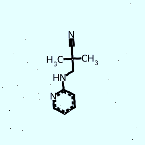 CC(C)(C#N)CNc1ccccn1